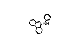 C1=CC2C(=C(Nc3ccccc3)C=C3C=CCCC32)CC1